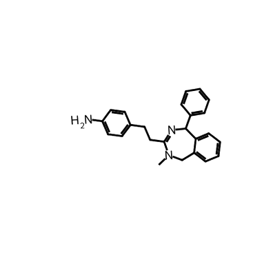 CN1Cc2ccccc2C(c2ccccc2)N=C1CCc1ccc(N)cc1